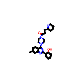 Cc1ccc2c(N3CCN(C(=O)CCc4ccccn4)CC3)nc(-c3ccccc3O)nc2c1